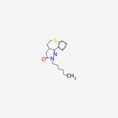 CCCCCCN1N=C2c3ccccc3SCCC2CC1=O